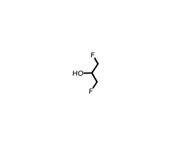 O[C](CF)CF